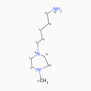 CN1CCN(CCCCCN)CC1